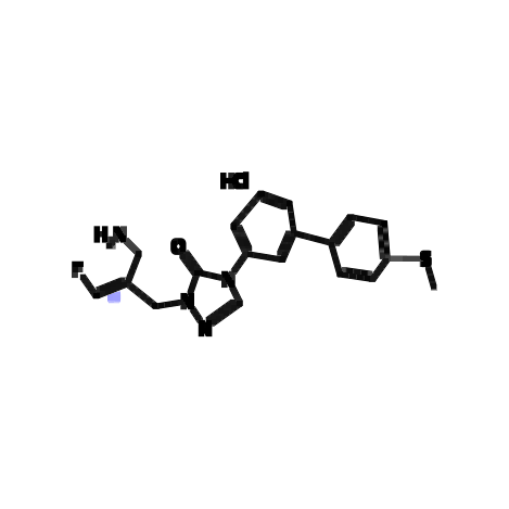 CSc1ccc(-c2cccc(-n3cnn(C/C(=C/F)CN)c3=O)c2)cc1.Cl